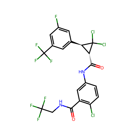 O=C(NCC(F)(F)F)c1cc(NC(=O)[C@@H]2[C@@H](c3cc(F)cc(C(F)(F)F)c3)C2(Cl)Cl)ccc1Cl